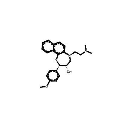 COc1ccc([C@@H]2Sc3c(ccc4ccccc34)N(CCN(C)C)C[C@@H]2O)cc1